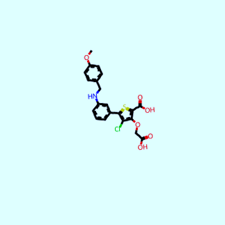 COc1ccc(CNc2cccc(-c3sc(C(=O)O)c(OCC(=O)O)c3Cl)c2)cc1